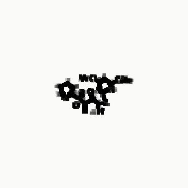 COc1cc(OC)nc(SC(C(=O)NS(=O)(=O)c2ccccn2)C(C)C)n1